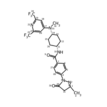 CC1=NN(c2ccc(C(=O)N[C@H]3CC[C@@H](N(C)c4cc(C(F)(F)F)nc(C(F)(F)F)c4)CC3)cc2)C(=O)C1